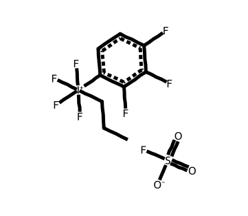 CCC[I+](F)(F)(F)(F)c1ccc(F)c(F)c1F.O=S(=O)([O-])F